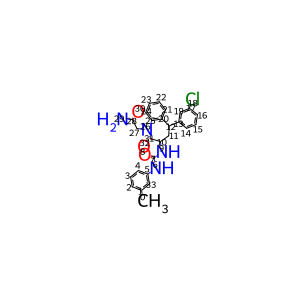 Cc1cccc(NC(=O)NC2CC(c3cccc(Cl)c3)c3ccccc3N(CC(N)=O)C2=O)c1